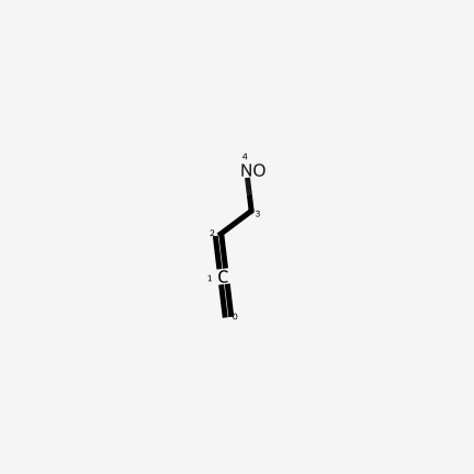 C=C=CCN=O